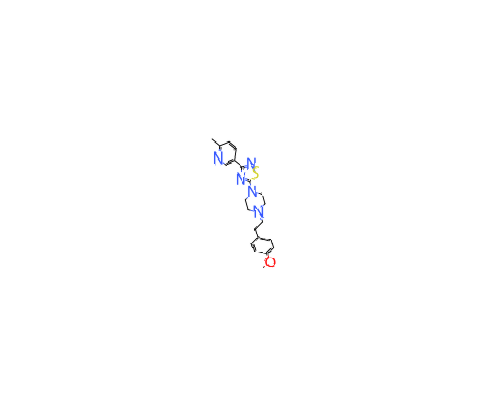 COc1ccc(CCN2CCN(c3nc(-c4ccc(C)nc4)ns3)CC2)cc1